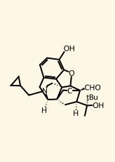 CC(C)(C)[C@@](C)(O)[C@H]1C[C@@]23CC[C@]1(C=O)C1Oc4c(O)ccc5c4[C@@]12CCN(CC1CC1)[C@@H]3C5